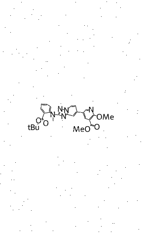 COC(=O)c1cc(-c2ccn3nc(N(C)c4ccccc4C(=O)OC(C)(C)C)nc3c2)cnc1OC